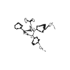 Cc1ccc([C@H]2N=C(c3ccccc3)N(C(=O)Cl)[C@H]2c2ccc(C)cc2)cc1